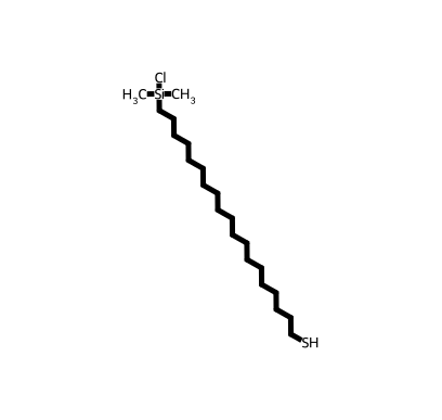 C[Si](C)(Cl)CCCCCCCCCCCCCCCCCCCS